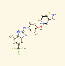 Fc1cc(Nc2nc3cc(C(F)(F)F)cc(Cl)c3[nH]2)ccc1ON1C=Cc2sncc2C1